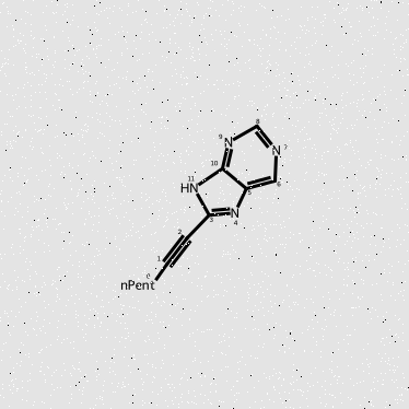 CCCCCC#Cc1nc2cncnc2[nH]1